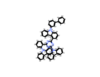 c1ccc(-c2cccc(-n3c4ccccc4c4c(-c5nc(-c6ccccc6-n6c7ccccc7c7ccccc76)nc(-n6c7ccccc7c7ccccc76)n5)cccc43)c2)cc1